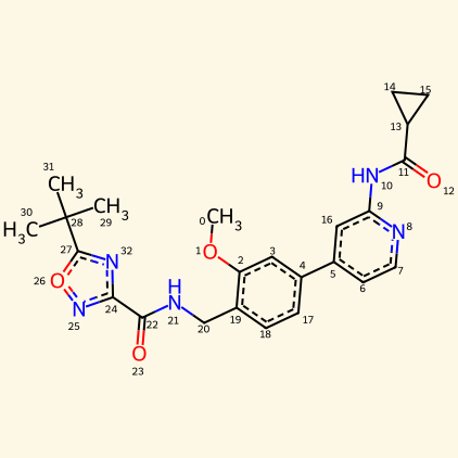 COc1cc(-c2ccnc(NC(=O)C3CC3)c2)ccc1CNC(=O)c1noc(C(C)(C)C)n1